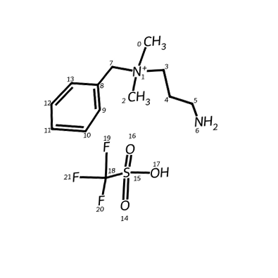 C[N+](C)(CCCN)Cc1ccccc1.O=S(=O)(O)C(F)(F)F